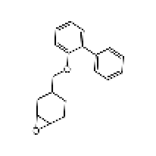 c1ccc(-c2ccccc2OCC2CCC3OC3C2)cc1